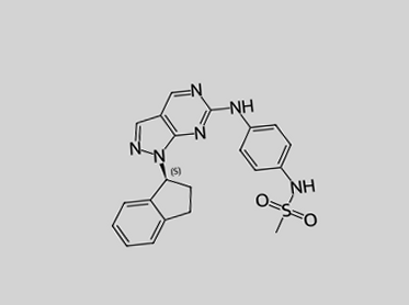 CS(=O)(=O)Nc1ccc(Nc2ncc3cnn([C@H]4CCc5ccccc54)c3n2)cc1